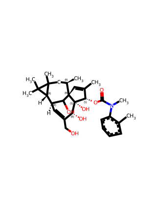 CC1=C[C@]23C(O)[C@@H](C=C(CO)[C@@H](O)[C@]2(O)[C@H]1OC(=O)N(C)c1ccccc1C)[C@@H]1C(C)(C)C1(C)C[C@H]3C